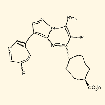 Nc1c(Br)c([C@H]2CC[C@H](C(=O)O)CC2)nc2c(-c3cncc(F)c3)cnn12